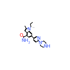 CC[C@H](C)n1c(C)cc2c(C(N)=O)cc(-c3ccc(N4CCNCC4)nc3)cc21